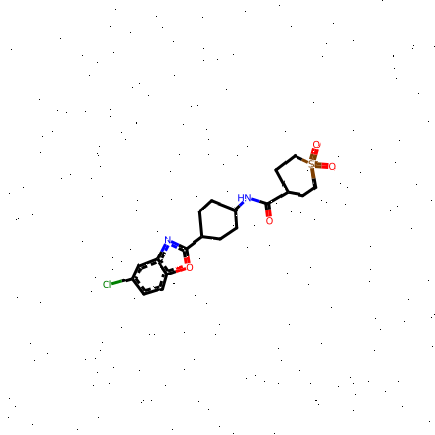 O=C(NC1CCC(c2nc3cc(Cl)ccc3o2)CC1)C1CCS(=O)(=O)CC1